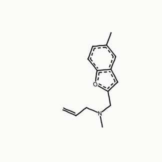 C=CCN(C)Cc1cc2cc(C)ccc2o1